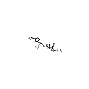 CNC(=O)NSCCN(C)c1csc(N)n1